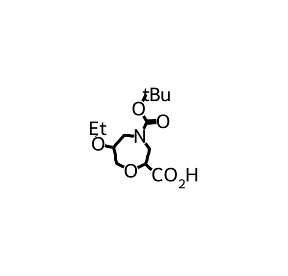 CCOC1COC(C(=O)O)CN(C(=O)OC(C)(C)C)C1